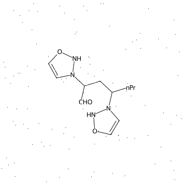 CCCC(CC(C=O)N1C=CON1)N1C=CON1